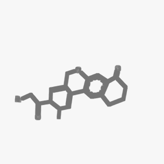 CC1C=C2C(=CC1C(=O)CBr)COc1cc3c(cc12)CCCC3=O